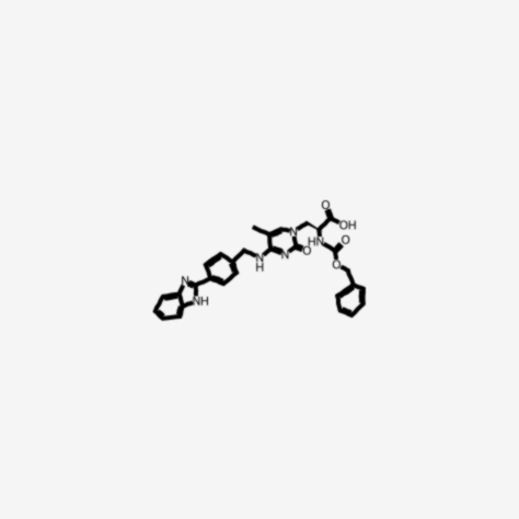 Cc1cn(C[C@H](NC(=O)OCc2ccccc2)C(=O)O)c(=O)nc1NCc1ccc(-c2nc3ccccc3[nH]2)cc1